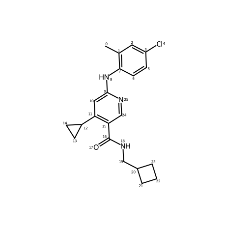 Cc1cc(Cl)ccc1Nc1cc(C2CC2)c(C(=O)NCC2CCC2)cn1